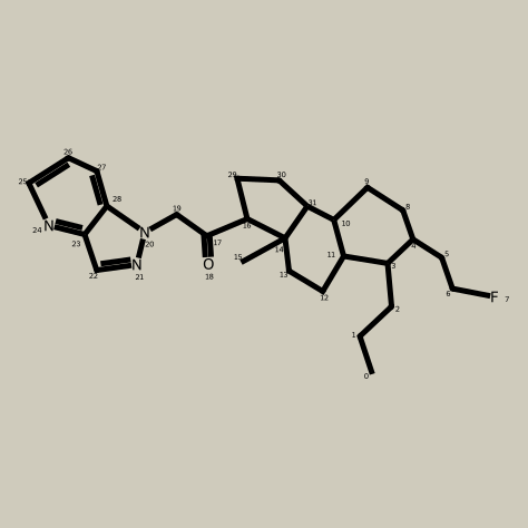 CCCC1C(CCF)CCC2C1CCC1(C)C(C(=O)Cn3ncc4ncccc43)CCC21